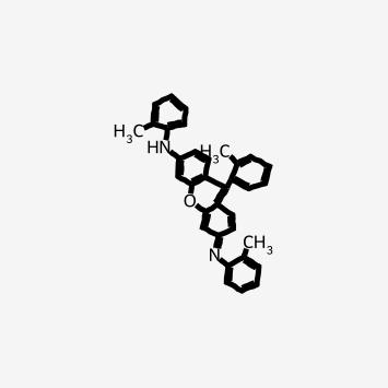 Cc1ccccc1/N=c1\ccc2c(-c3ccccc3C)c3ccc(Nc4ccccc4C)cc3oc-2c1